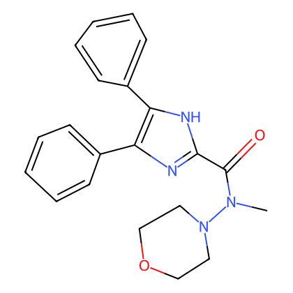 CN(C(=O)c1nc(-c2ccccc2)c(-c2ccccc2)[nH]1)N1CCOCC1